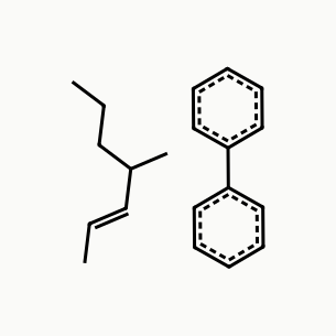 CC=CC(C)CCC.c1ccc(-c2ccccc2)cc1